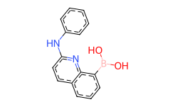 OB(O)c1cccc2ccc(Nc3ccccc3)nc12